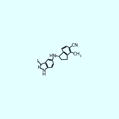 Cc1c(C#N)ccc2c1CC[C@H]2Nc1ccc2[nH]nc(I)c2c1